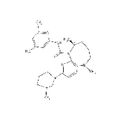 Cc1cc(C)nc(NC(=O)N2c3nc(N4CCCC(C(F)(F)F)C4)ccc3N(C)CCC[C@@H]2C)c1